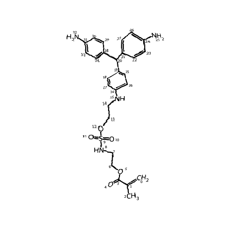 C=C(C)C(=O)OCCNS(=O)(=O)OCCNc1ccc(C(c2ccc(N)cc2)c2ccc(N)cc2)cc1